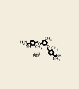 Cc1cc(OCc2ccc(C(=N)N)cc2C)cc(OCc2ccc(C(=N)N)cc2C)c1.Cl.Cl